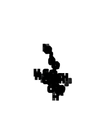 CC(C)c1cc(-c2cccc(OCCCc3ccncc3)c2)cc(C(C)C)c1NC(=O)N(CC1CCCCC1)c1cc2cccnc2[nH]c1=O